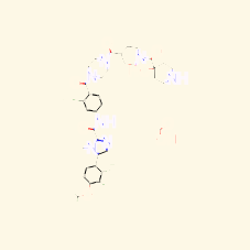 Cn1c(-c2ccc(OC(F)F)c(F)c2F)cnc1C(=O)Nc1ccc(C(=O)N2CCN(C(=O)C3CCN(C(=O)C4(O)CCNCC4)CC3)CC2)c(Cl)c1.O=CO